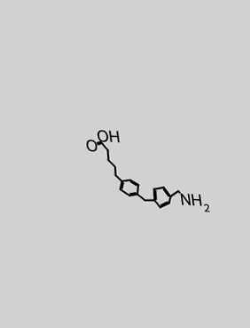 NCc1ccc(Cc2ccc(CCCCC(=O)O)cc2)cc1